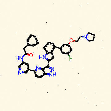 O=C(Cc1ccccc1)Nc1cncc(-c2ccc3[nH]nc(-c4cc5c(-c6cc(F)cc(OCCN7CCCC7)c6)cccc5[nH]4)c3n2)c1